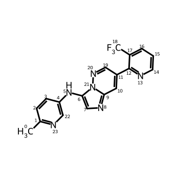 Cc1ccc(Nc2cnc3cc(-c4ncccc4C(F)(F)F)cnn23)cn1